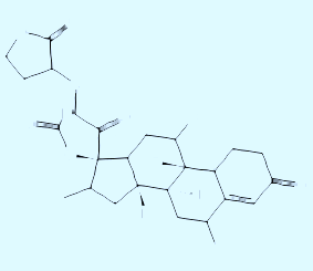 CCC(=O)O[C@]1(C(=O)CSC2CCOC2=O)C(C)C[C@H]2[C@@H]3CC(F)C4=CC(=O)CC[C@]4(C)[C@@]3(F)C(O)C[C@@]21C